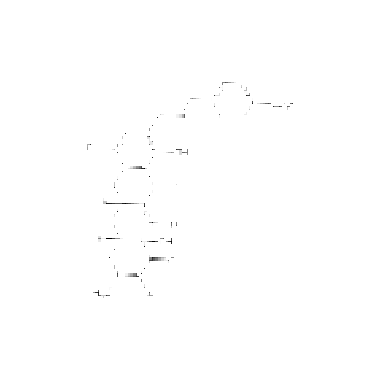 CCc1cc(CNCc2ccc(C(=O)O)cc2)c(O)c2c1C[C@H]1C[C@H]3CC(C)=C(C(C)=O)C(=O)[C@@]3(O)C(O)=C1C2=O